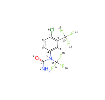 NC(=O)N(c1ccc(Cl)c(C(F)(F)F)c1)C(F)(F)F